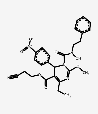 CCC1=C(C(=O)OCCC#N)C(c2ccc([N+](=O)[O-])cc2)N(C(=O)N(O)CCc2ccccc2)C(OC)=N1